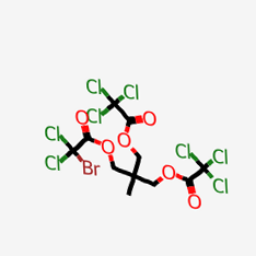 CC(COC(=O)C(Cl)(Cl)Cl)(COC(=O)C(Cl)(Cl)Cl)COC(=O)C(Cl)(Cl)Br